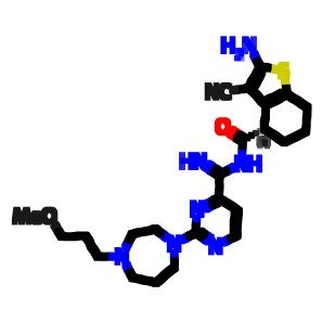 COCCCN1CCCN(c2nccc(C(=N)NC(=O)[C@H]3CCCc4sc(N)c(C#N)c43)n2)CC1